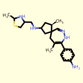 CC1=C(c2ccc(N)cc2)NN=CC2(C1)CC(NCC1CSC(C)N1)C[C@H]2C